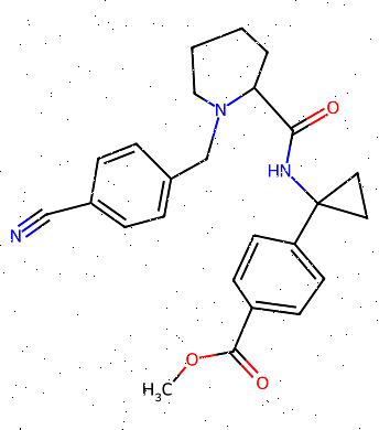 COC(=O)c1ccc(C2(NC(=O)C3CCCCN3Cc3ccc(C#N)cc3)CC2)cc1